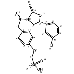 C[C@H](Cc1ccc(OCS(=O)(=O)O)cc1)N1C[C@@H](c2cccc(Cl)c2)OC1=O